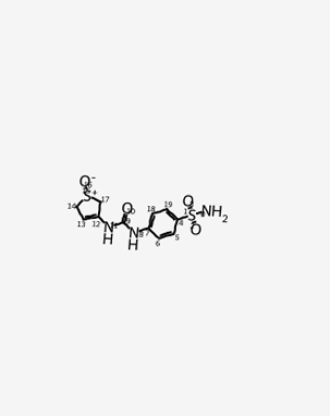 NS(=O)(=O)c1ccc(NC(=O)NC2=CC[S+]([O-])C2)cc1